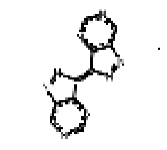 c1ncc2c(n1)C(=C1N=Nc3cncnc31)N=N2